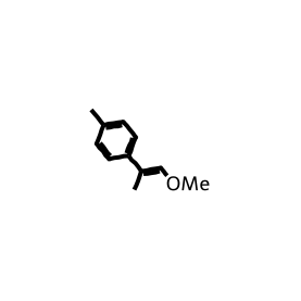 COC=C(C)c1ccc(C)cc1